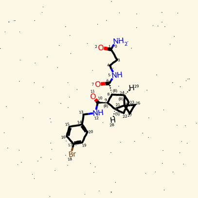 NC(=O)CCNC(=O)[C@H]1[C@H](C(=O)NCc2ccc(Br)cc2)[C@@H]2CC[C@H]1C21CC1